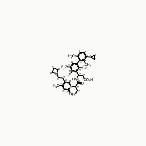 Cc1ccc(C2CC2)c(C)c1-c1cc(C(F)(F)F)c(F)c(C(CC(=O)O)NC(=O)C(CC(C)C)n2cc(CCN3CCC3)c(C(F)(F)F)cc2=O)c1F